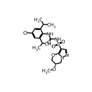 CO[C@H]1COc2c(S(=O)(=O)NC(=O)Nc3c(C(C)C)cc(Cl)cc3C(C)C)cnn2C1